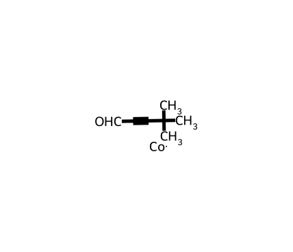 CC(C)(C)C#CC=O.[Co]